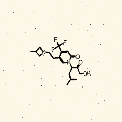 CC(C)CC(C(=O)CO)n1cc(CCN2CC(C)C2)c(C(F)(F)F)cc1=O